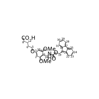 COc1cc(OCCCCC(=O)O)cc(OC)c1CNC(=O)OCC1c2ccccc2-c2ccccc21